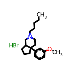 Br.CCCCCN1CCC2(c3cccc(OC)c3)CCCC2C1